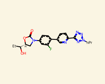 CCCn1nnc(-c2ccc(-c3ccc(N4C[C@H](C(O)CC)OC4=O)cc3F)cn2)n1